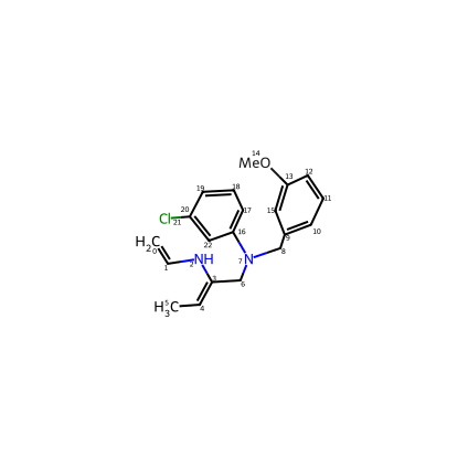 C=CN/C(=C\C)CN(Cc1cccc(OC)c1)c1cccc(Cl)c1